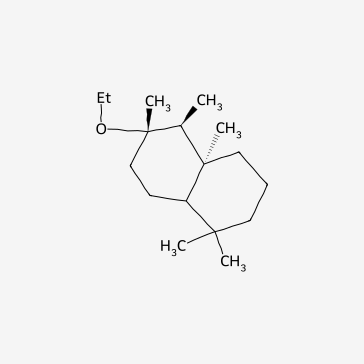 CCO[C@@]1(C)CCC2C(C)(C)CCC[C@]2(C)[C@@H]1C